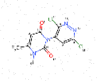 Cn1c(C(F)(F)F)cc(=O)n(-c2cc(Cl)nnc2Cl)c1=O